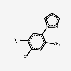 Cc1cc(Cl)c(C(=O)O)cc1-n1cccn1